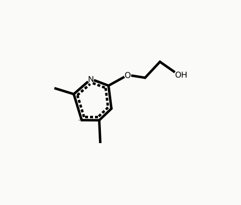 Cc1[c]c(C)nc(OCCO)c1